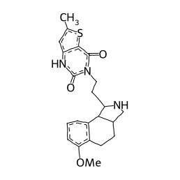 COc1cccc2c1CCC1CNC(CCn3c(=O)[nH]c4cc(C)sc4c3=O)C21